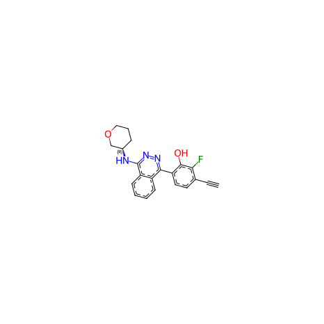 C#Cc1ccc(-c2nnc(N[C@@H]3CCCOC3)c3ccccc23)c(O)c1F